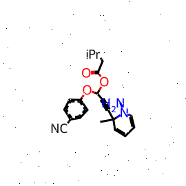 CC(C)CC(=O)OC(C#CC1(C)C=CC=CN1N)Oc1ccc(C#N)cc1